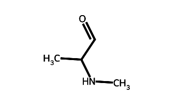 CNC(C)C=O